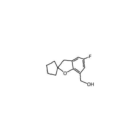 OCc1cc(F)cc2c1OC1(CCCC1)C2